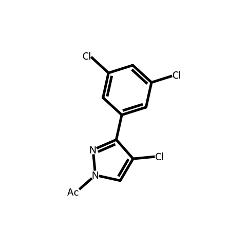 CC(=O)n1cc(Cl)c(-c2cc(Cl)cc(Cl)c2)n1